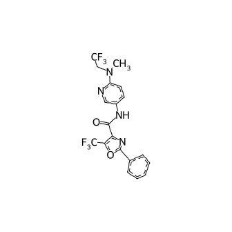 CN(CC(F)(F)F)c1ccc(NC(=O)c2nc(-c3ccccc3)oc2C(F)(F)F)cn1